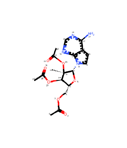 CC(=O)OC[C@H]1O[C@@H](n2ccc3c(N)ncnc32)[C@](C)(OC(C)=O)[C@@H]1OC(C)=O